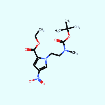 CCOC(=O)c1cc([N+](=O)[O-])cn1CCN(C)C(=O)OC(C)(C)C